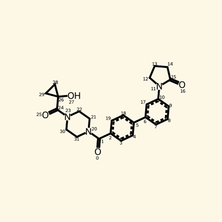 O=C(c1ccc(-c2cccc(N3CCCC3=O)c2)cc1)N1CCN(C(=O)C2(O)CC2)CC1